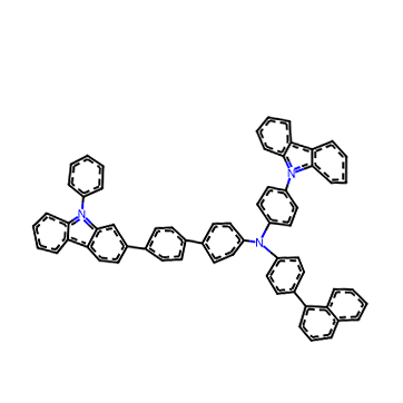 c1ccc(-n2c3ccccc3c3ccc(-c4ccc(-c5ccc(N(c6ccc(-c7cccc8ccccc78)cc6)c6ccc(-n7c8ccccc8c8ccccc87)cc6)cc5)cc4)cc32)cc1